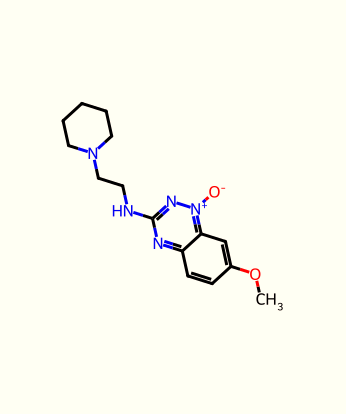 COc1ccc2nc(NCCN3CCCCC3)n[n+]([O-])c2c1